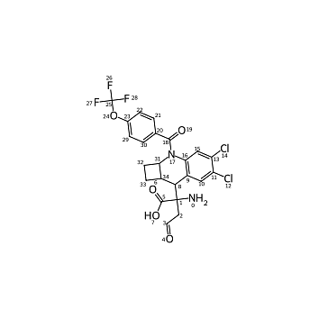 NC(CC=O)(C(=O)O)C1c2cc(Cl)c(Cl)cc2N(C(=O)c2ccc(OC(F)(F)F)cc2)C2CCC21